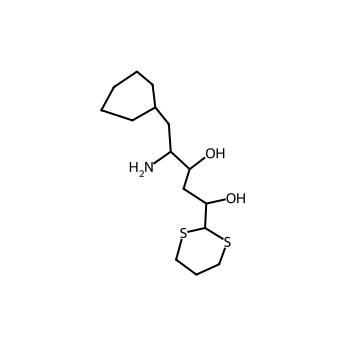 NC(CC1CCCCC1)C(O)CC(O)C1SCCCS1